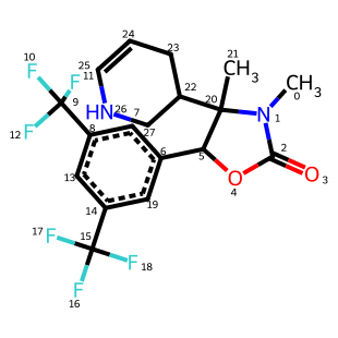 CN1C(=O)OC(c2cc(C(F)(F)F)cc(C(F)(F)F)c2)C1(C)C1CC=CNC1